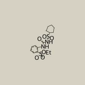 CCOS(=O)(=O)c1ccccc1NC(=O)NS(=O)(=O)C1CCCCC1